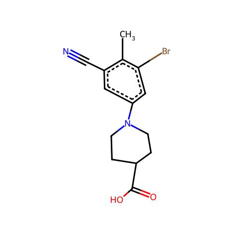 Cc1c(Br)cc(N2CCC(C(=O)O)CC2)cc1C#N